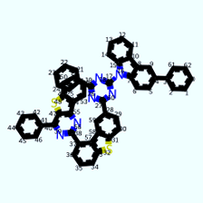 c1ccc(-c2ccc3c(c2)c2ccccc2n3-c2nc(-c3ccccc3)nc(-c3ccc4sc5cccc(-c6nc(-c7ccccc7)c7sc8ccccc8c7n6)c5c4c3)n2)cc1